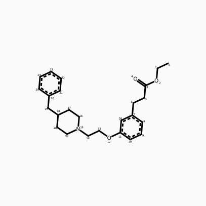 CCOC(=O)CCc1cccc(OCCN2CCC(Cc3ccccc3)CC2)c1